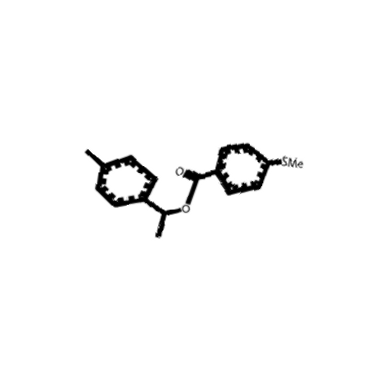 CSc1ccc(C(=O)OC(C)c2ccc(C)cc2)cc1